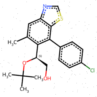 Cc1cc2ncsc2c(-c2ccc(Cl)cc2)c1[C@@H](CO)OC(C)(C)C